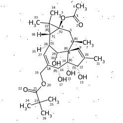 CC(=O)O[C@@]12C[C@@H](C)[C@]34C=C(C)[C@H](O)[C@@]3(O)[C@H](O)C(COC(=O)C(C)(C)C)=C[C@H](C4O)[C@@H]1C2(C)C